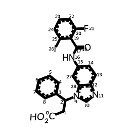 O=C(O)CC(c1ccccc1)n1cnc2ccc(NC(=O)c3c(F)cccc3I)cc21